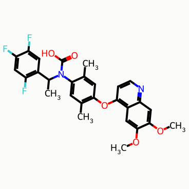 COc1cc2nccc(Oc3cc(C)c(N(C(=O)O)C(C)c4cc(F)c(F)cc4F)cc3C)c2cc1OC